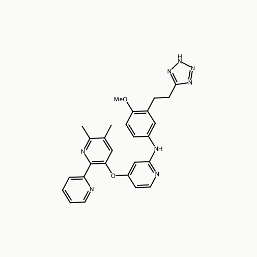 COc1ccc(Nc2cc(Oc3cc(C)c(C)nc3-c3ccccn3)ccn2)cc1CCc1nn[nH]n1